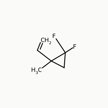 C=CC1(C)CC1(F)F